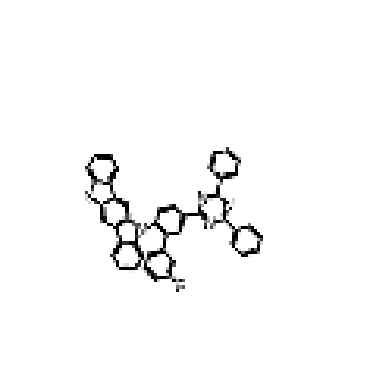 Fc1cccc(-c2cc(-c3nc(-c4ccccc4)nc(-c4ccccc4)n3)ccc2-n2c3ccccc3c3cc4sc5ccccc5c4cc32)c1